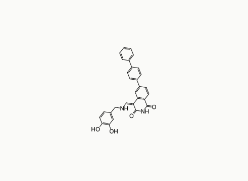 O=C1NC(=O)c2ccc(-c3ccc(-c4ccccc4)cc3)cc2C1=CNCc1ccc(O)c(O)c1